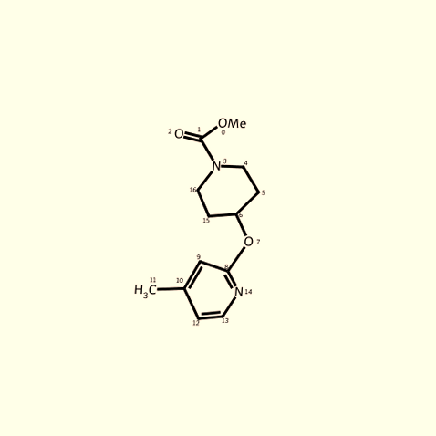 COC(=O)N1CCC(Oc2cc(C)ccn2)CC1